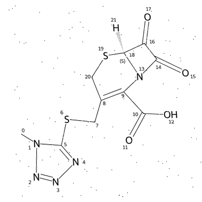 Cn1nnnc1SCC1=C(C(=O)O)N2C(=O)C(=O)[C@@H]2SC1